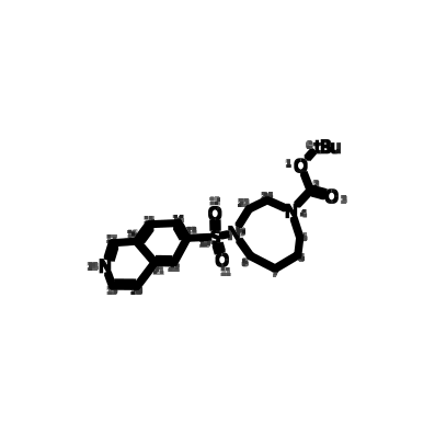 CC(C)(C)OC(=O)N1CCCCN(S(=O)(=O)c2ccc3cnccc3c2)CC1